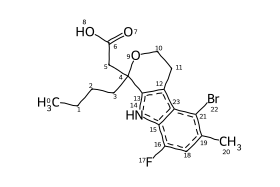 CCCCC1(CC(=O)O)OCCc2c1[nH]c1c(F)cc(C)c(Br)c21